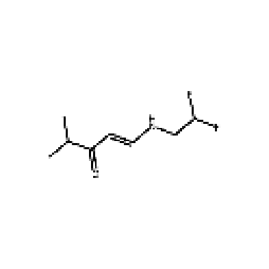 CC(C)C(=O)/C=C/NCC(F)F